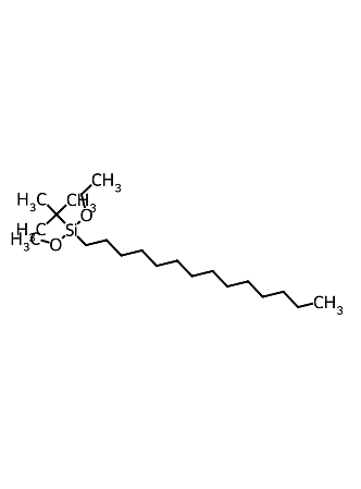 CCCCCCCCCCCCCC[Si](OC)(OCC)C(C)(C)C